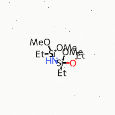 CCO[Si](CC)(N[Si](CC)(OC)OC)OC